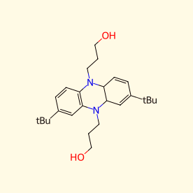 CC(C)(C)C1=CC2C(C=C1)N(CCCO)c1ccc(C(C)(C)C)cc1N2CCCO